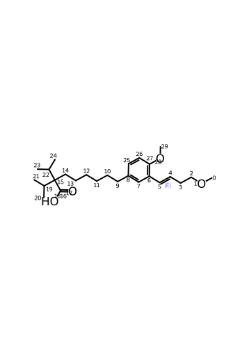 COCC/C=C/c1cc(CCCCCCC(C(=O)O)(C(C)C)C(C)C)ccc1OC